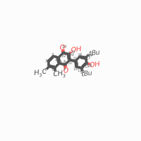 Cc1ccc2c(c1C)C(=O)C(c1cc(C(C)(C)C)c(O)c(C(C)(C)C)c1)=C(O)C2=O